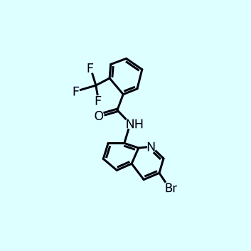 O=C(Nc1cccc2cc(Br)cnc12)c1ccccc1C(F)(F)F